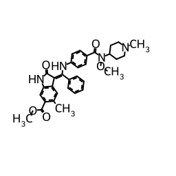 COC(=O)c1cc2c(cc1C)/C(=C(/Nc1ccc(C(=O)N(OC)C3CCN(C)CC3)cc1)c1ccccc1)C(=O)N2